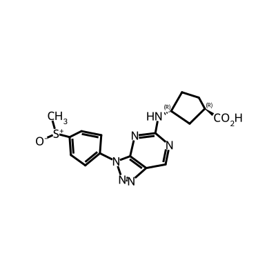 C[S+]([O-])c1ccc(-n2nnc3cnc(N[C@@H]4CC[C@@H](C(=O)O)C4)nc32)cc1